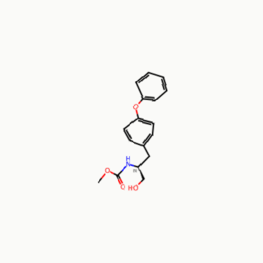 COC(=O)N[C@H](CO)Cc1ccc(Oc2ccccc2)cc1